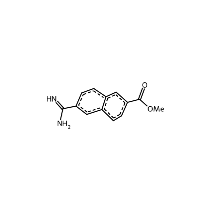 COC(=O)c1ccc2cc(C(=N)N)ccc2c1